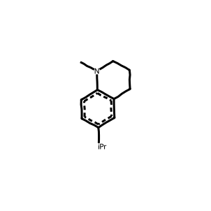 CC(C)c1ccc2c(c1)CCCN2C